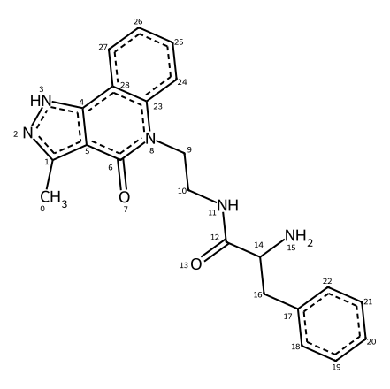 Cc1n[nH]c2c1c(=O)n(CCNC(=O)C(N)Cc1ccccc1)c1ccccc21